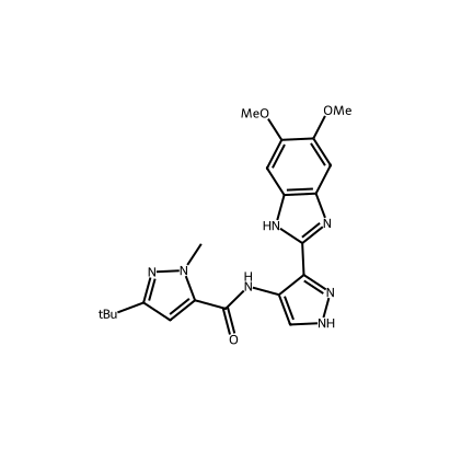 COc1cc2nc(-c3n[nH]cc3NC(=O)c3cc(C(C)(C)C)nn3C)[nH]c2cc1OC